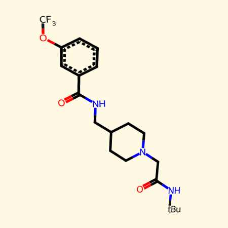 CC(C)(C)NC(=O)CN1CCC(CNC(=O)c2cccc(OC(F)(F)F)c2)CC1